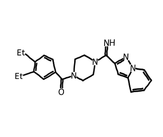 CCc1ccc(C(=O)N2CCN(C(=N)c3cc4ccccn4n3)CC2)cc1CC